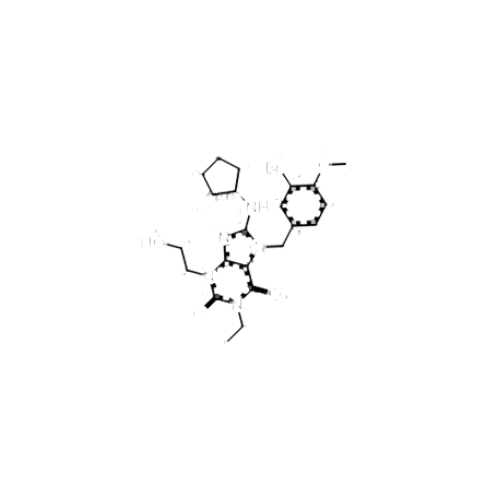 CCn1c(=O)c2c(nc(N[C@@H]3CCC[C@H]3C)n2Cc2ccc(OC)c(Br)c2)n(CCO)c1=O